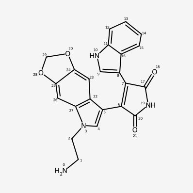 NCCn1cc(C2=C(c3c[nH]c4ccccc34)C(=O)NC2=O)c2cc3c(cc21)OCO3